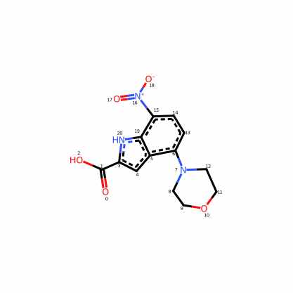 O=C(O)c1cc2c(N3CCOCC3)ccc([N+](=O)[O-])c2[nH]1